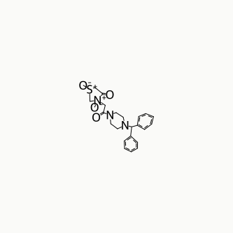 O=C(C[N+]1([O-])C[S+]([O-])CC1=O)N1CCN(C(c2ccccc2)c2ccccc2)CC1